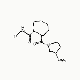 COC1CCN(C(=O)[C@@H]2CCCC[C@H]2C(=O)NC(C)C)C1